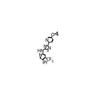 CC(C)c1cnc(Nc2nc(-c3ccc(OC4CC4)cn3)ns2)cc1C(F)(F)F